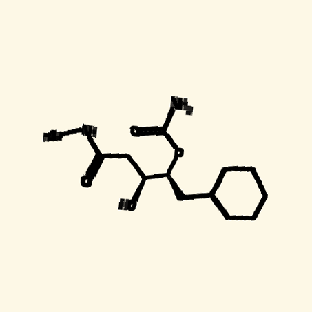 CCCCNC(=O)C[C@H](O)[C@H](CC1CCCCC1)OC(N)=O